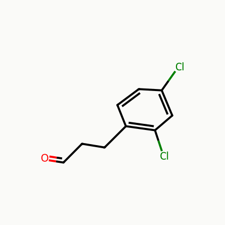 O=CCCc1ccc(Cl)cc1Cl